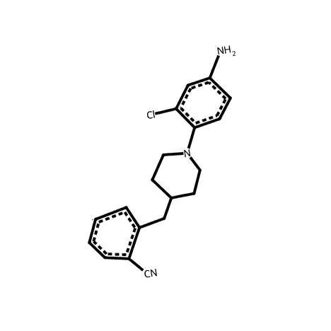 N#Cc1cc[c]cc1CC1CCN(c2ccc(N)cc2Cl)CC1